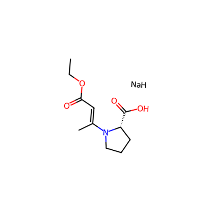 CCOC(=O)C=C(C)N1CCC[C@H]1C(=O)O.[NaH]